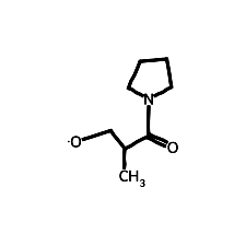 CC(C[O])C(=O)N1CCCC1